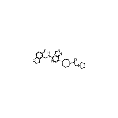 O=C(CN1CCCC1)N1CCC[C@H](c2cnc(NCc3c(F)ccc4c3CCO4)n3cnnc23)CC1